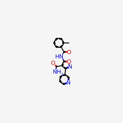 Cc1ccccc1C(=O)Nc1onc(-c2cccnc2)c1C(N)=O